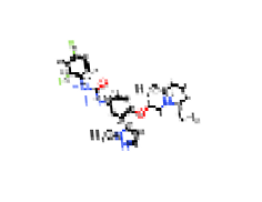 C[C@@H]1CCC[C@H](C)N1CCOc1ccc(NC(=O)Nc2ccc(F)cc2F)cc1-c1ccnn1C